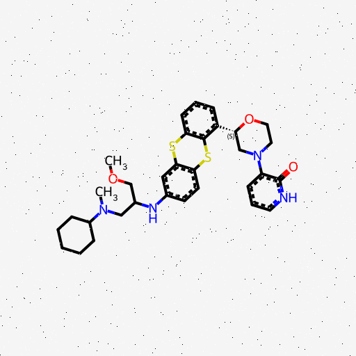 COCC(CN(C)C1CCCCC1)Nc1ccc2c(c1)Sc1cccc([C@H]3CN(c4ccc[nH]c4=O)CCO3)c1S2